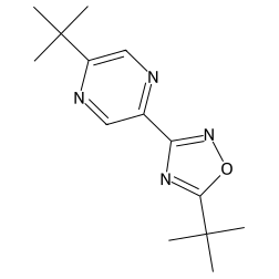 CC(C)(C)c1cnc(-c2noc(C(C)(C)C)n2)cn1